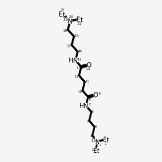 CC[15N](CC)CCCCNC(=O)CCCC(=O)NCCCC[15N](CC)CC